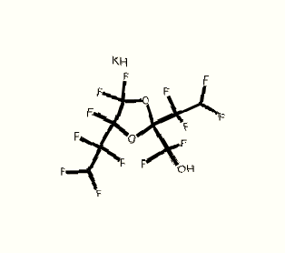 OC(F)(F)C1(C(F)(F)C(F)F)OC(F)(F)C(F)(C(F)(F)C(F)F)O1.[KH]